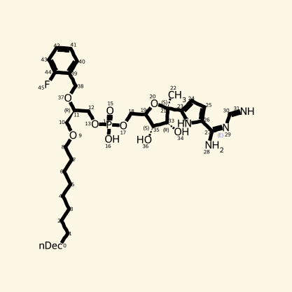 CCCCCCCCCCCCCCCCCCOC[C@H](COP(=O)(O)OCC1O[C@@](C)(c2ccc(/C(N)=N\C=N)[nH]2)[C@H](O)[C@@H]1O)OCc1ccccc1F